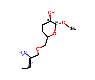 C/C=C(\N)COCC1CC[C@@H](O)[C@H](OC(C)(C)C)O1